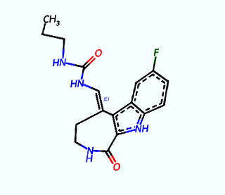 CCCNC(=O)N/C=C1\CCNC(=O)c2[nH]c3ccc(F)cc3c21